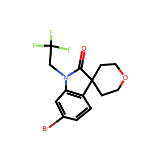 O=C1N(CC(F)(F)F)c2cc(Br)ccc2C12CCOCC2